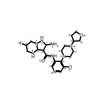 NC1NN2CC(F)CNC2C1C(=O)Nc1cncc(Cl)c1N1CCN(C2CCOC2)CC1